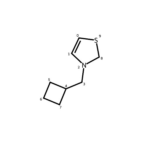 C1=CN(CC2CCC2)CS1